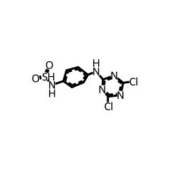 O=[SH](=O)Nc1ccc(Nc2nc(Cl)nc(Cl)n2)cc1